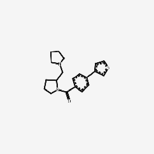 O=C(c1ccc(-c2ccsc2)cc1)N1CCCC1CN1CCCC1